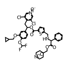 O=C(OC(Cc1c(Cl)c[n+]([O-])cc1Cl)c1ccc(OC(F)F)c(OCC2CC2)c1)c1ccc(CNC(C(=O)OCC23CCN(CC2)CC3)c2ccccc2)s1